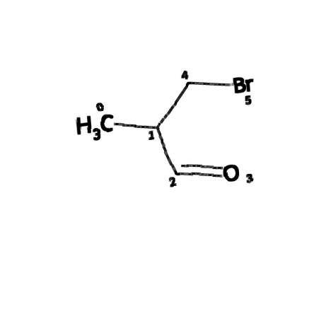 CC(C=O)CBr